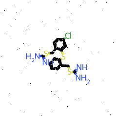 N=C(N)SCc1ccccc1Sc1cc(Cl)ccc1CSC(=N)N